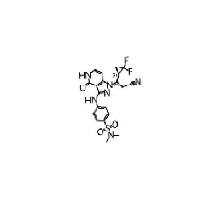 CN(C)S(=O)(=O)c1ccc(Nc2nn([C@H](CC#N)[C@H]3CC3(F)F)c3cc[nH]c(=O)c23)cc1